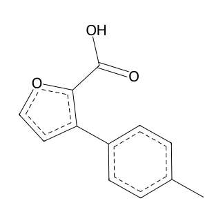 Cc1ccc(-c2ccoc2C(=O)O)cc1